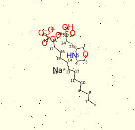 C1COCCN1.CCCCCCCCCCCCOS(=O)(=O)[O-].CCS(=O)(=O)O.[Na+]